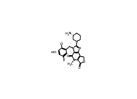 Cl.Cn1c2c(c3nc(N4CCC[C@@H](N)C4)n(Cc4cc(F)ccc4Cl)c3c1=O)COC2=O